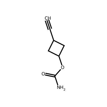 C#CC1CC(OC(N)=O)C1